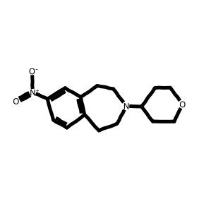 O=[N+]([O-])c1ccc2c(c1)CCN(C1CCOCC1)CC2